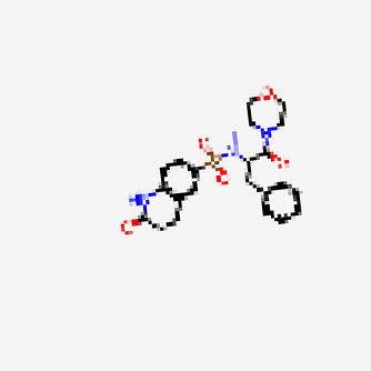 O=C1CCc2cc(S(=O)(=O)NC(Cc3ccccc3)C(=O)N3CCOCC3)ccc2N1